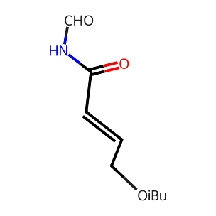 CC(C)COCC=CC(=O)NC=O